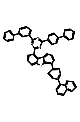 c1ccc(-c2ccc(-c3nc(-c4cccc(-c5ccccc5)c4)nc(-c4cccc5oc6c(-c7ccc(-c8cccc9ccccc89)cc7)cccc6c45)n3)cc2)cc1